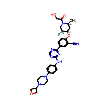 C[C@H]1C[C@H](Oc2ccc(-c3ncnc(Nc4ccc(N5CCN(C6COC6)CC5)cc4)n3)cc2C#N)[C@@H](F)CN1C(=O)CO